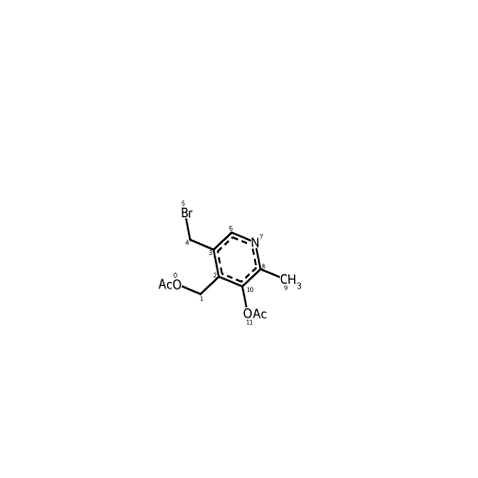 CC(=O)OCc1c(CBr)cnc(C)c1OC(C)=O